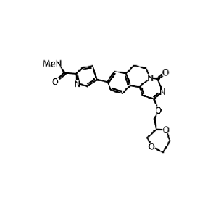 CNC(=O)c1ccc(-c2ccc3c(c2)CCn2c-3cc(OCC3COCCO3)nc2=O)cn1